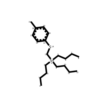 CCC[CH2][Sn]([CH2]CCC)([CH2]CCC)[CH2]Sc1ccc(C)cc1